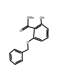 COC(=O)c1c(O)cccc1OCc1ccccc1